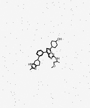 COC[C@H](C)Nc1ncc2c(-c3cccc(C4CCc5nc(C)[nH]c5C4)c3)cc(C3CCC(O)CC3)n2n1